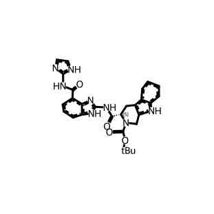 CC(C)(C)OC(=O)N1Cc2[nH]c3ccccc3c2C[C@H]1C(=O)Nc1nc2c(C(=O)Nc3ncc[nH]3)cccc2[nH]1